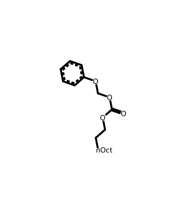 CCCCCCCCCCOC(=O)OCOc1ccccc1